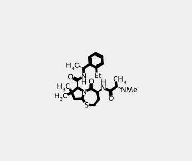 CCc1ccccc1[C@@H](C)NC(=O)[C@H]1N2C(=O)[C@@H](NC(=O)[C@H](C)NC)CCSC2CC1(C)C